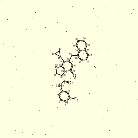 O=C(Nc1ccnc(F)c1)[C@@H]1CSc2c(C3CC3)c(Cc3cccc4ccccc34)cc(=O)n21